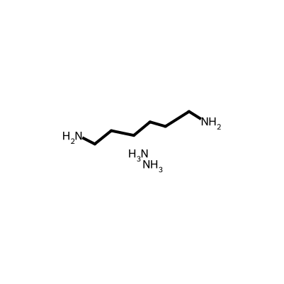 N.N.NCCCCCCN